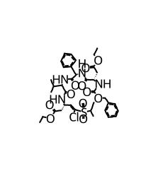 CCOC(=O)C[C@@H](/C=C(\Cl)S(=O)(=O)C(C)C)NC(=O)[C@@H](NC(=O)[C@@H](NC(=O)[C@H](CC(=O)OCC)NC(=O)OCc1ccccc1)c1ccccc1)C(C)C